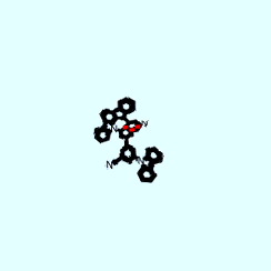 N#Cc1cc(-c2cc(C#N)cc(-n3c4ccccc4c4ccc5c(c43)C(c3ccccc3)c3ccccc3-5)c2)cc(-n2c3ccccc3c3ccccc32)c1